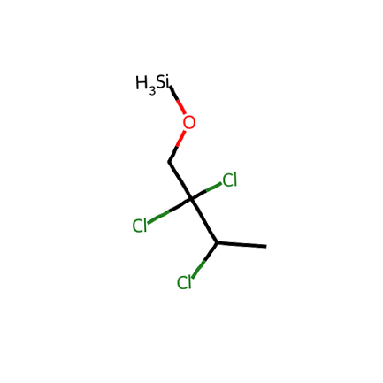 CC(Cl)C(Cl)(Cl)CO[SiH3]